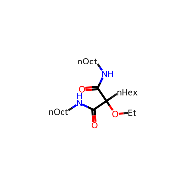 CCCCCCCCNC(=O)C(CCCCCC)(OCC)C(=O)NCCCCCCCC